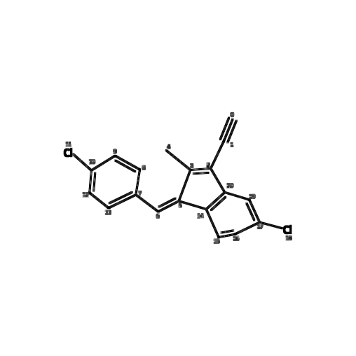 C#CC1=C(C)C(=Cc2ccc(Cl)cc2)c2ccc(Cl)cc21